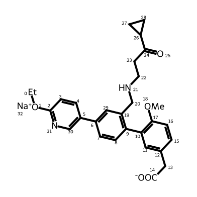 CCOc1ccc(-c2ccc(-c3cc(CC(=O)[O-])ccc3OC)c(CNCCC(=O)C3CC3)c2)cn1.[Na+]